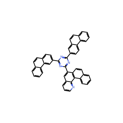 c1ccc2c(c1)ccc1cc(-c3nc(-c4ccc5ccc6ccccc6c5c4)nc(-c4cc5cccnc5c5c4ccc4ccccc45)n3)ccc12